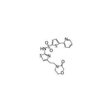 O=C1COCCN1CCc1csc(NS(=O)(=O)c2ccc(-c3ccccn3)s2)n1